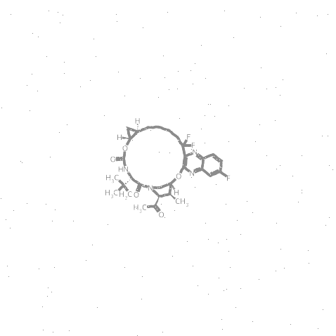 CC(=O)[C@@H]1[C@H](C)[C@@H]2CN1C(=O)[C@H](C(C)(C)C)NC(=O)O[C@@H]1C[C@H]1CCCCC(F)(F)c1nc3ccc(F)cc3nc1O2